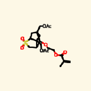 C=C(C)C(=O)OCCOC1C2CS(=O)(=O)C3CC1(COC(C)=O)CC23COC(C)=O